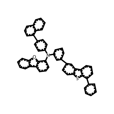 c1ccc(-c2cccc3c2sc2ccc(-c4cccc(N(c5ccc(-c6cccc7ccccc67)cc5)c5cccc6c5oc5ccccc56)c4)cc23)cc1